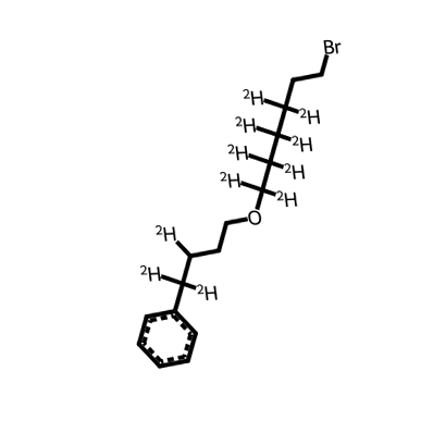 [2H]C(CCOC([2H])([2H])C([2H])([2H])C([2H])([2H])C([2H])([2H])CCBr)C([2H])([2H])c1ccccc1